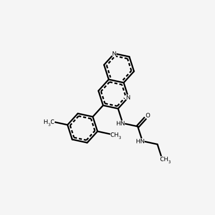 CCNC(=O)Nc1nc2ccncc2cc1-c1cc(C)ccc1C